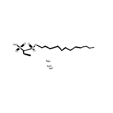 C=CC(S(=O)(=O)O)S(=O)(=O)OCCCCCCCCCCCC.[NaH].[NaH].[NaH]